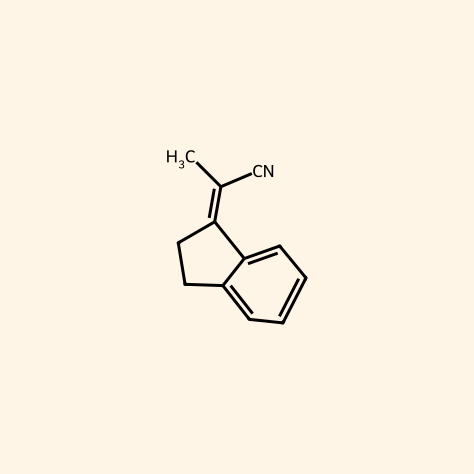 C/C(C#N)=C1\CCc2ccccc21